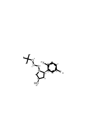 CC(C)(C)OOSN1C[C@H](O)C[C@@H]1c1cc(F)ccc1F